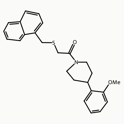 COc1ccccc1C1CCN(C(=O)CSCc2cccc3ccccc23)CC1